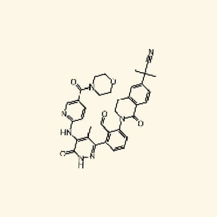 Cc1c(-c2cccc(N3CCc4cc(C(C)(C)C#N)ccc4C3=O)c2C=O)n[nH]c(=O)c1Nc1ccc(C(=O)N2CCOCC2)cn1